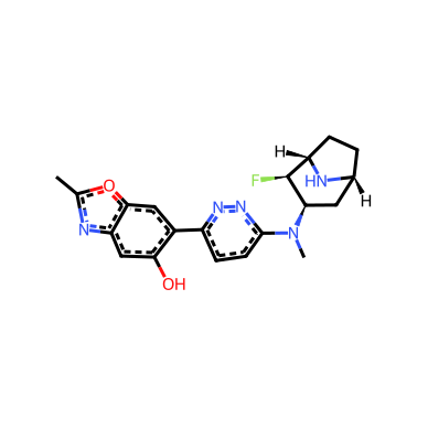 Cc1nc2cc(O)c(-c3ccc(N(C)[C@@H]4C[C@H]5CC[C@H](N5)[C@@H]4F)nn3)cc2o1